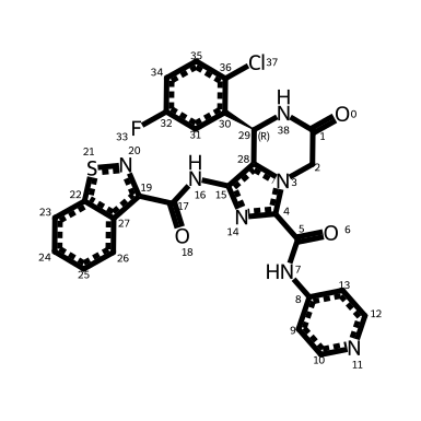 O=C1Cn2c(C(=O)Nc3ccncc3)nc(NC(=O)c3nsc4ccccc34)c2[C@@H](c2cc(F)ccc2Cl)N1